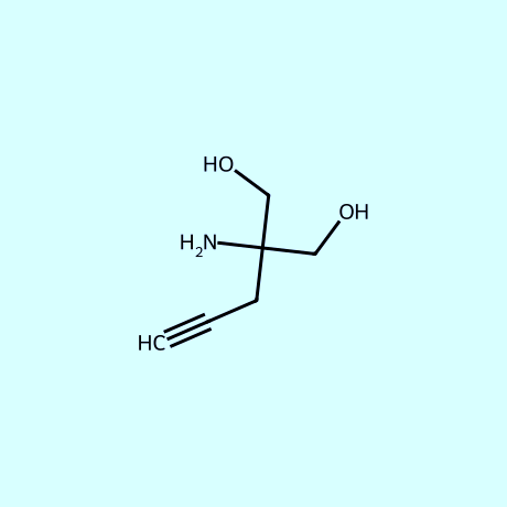 C#CCC(N)(CO)CO